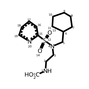 O=C(O)NCCN(CC1CCCCC1)S(=O)(=O)c1ccccn1